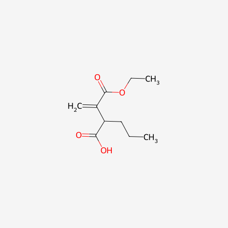 C=C(C(=O)OCC)C(CCC)C(=O)O